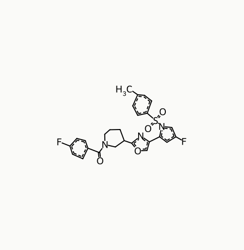 Cc1ccc(S(=O)(=O)n2cc(F)cc2-c2coc(C3CCCN(C(=O)c4ccc(F)cc4)C3)n2)cc1